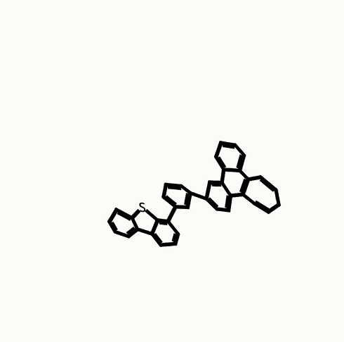 C1=Cc2c(c3ccc(-c4cccc(-c5cccc6c5sc5ccccc56)c4)cc3c3ccccc23)C=CC1